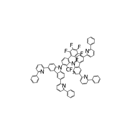 Fc1c(F)c(F)c(-c2ccc(-n3c4ccc(-c5cccc(-c6ccccc6)n5)cc4c4cc(-c5cccc(-c6ccccc6)n5)ccc43)c(C(F)(F)F)c2-n2c3ccc(-c4cccc(-c5ccccc5)n4)cc3c3cc(-c4cccc(-c5ccccc5)n4)ccc32)c(F)c1F